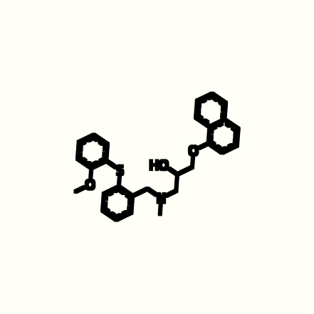 COc1ccccc1Sc1ccccc1CN(C)CC(O)COc1cccc2ccccc12